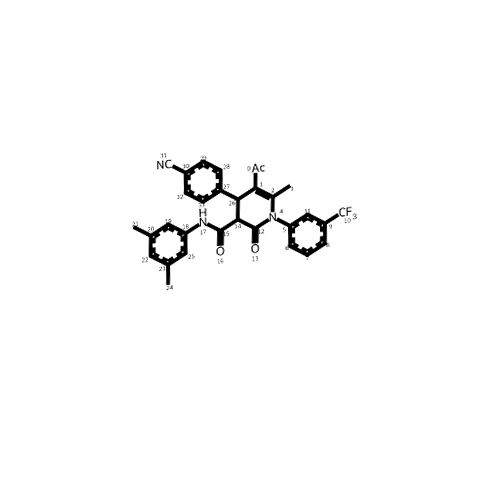 CC(=O)C1=C(C)N(c2cccc(C(F)(F)F)c2)C(=O)C(C(=O)Nc2cc(C)cc(C)c2)C1c1ccc(C#N)cc1